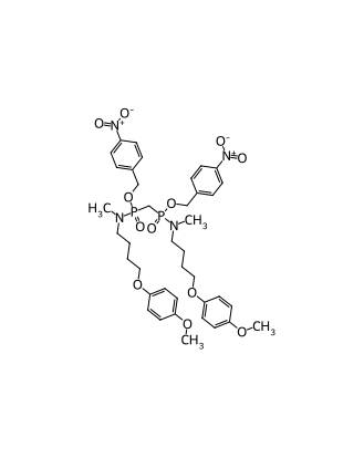 COc1ccc(OCCCCN(C)P(=O)(CP(=O)(OCc2ccc([N+](=O)[O-])cc2)N(C)CCCCOc2ccc(OC)cc2)OCc2ccc([N+](=O)[O-])cc2)cc1